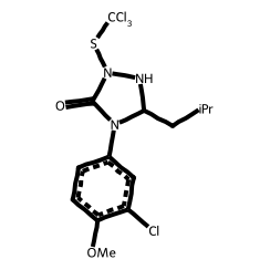 COc1ccc(N2C(=O)N(SC(Cl)(Cl)Cl)NC2CC(C)C)cc1Cl